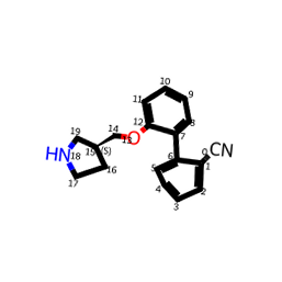 N#Cc1ccccc1-c1ccccc1OC[C@H]1CCNC1